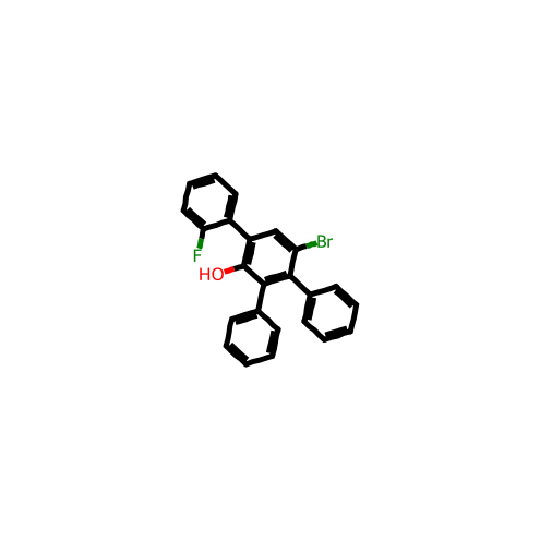 Oc1c(-c2ccccc2F)cc(Br)c(-c2ccccc2)c1-c1ccccc1